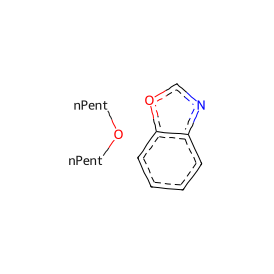 CCCCCOCCCCC.c1ccc2ocnc2c1